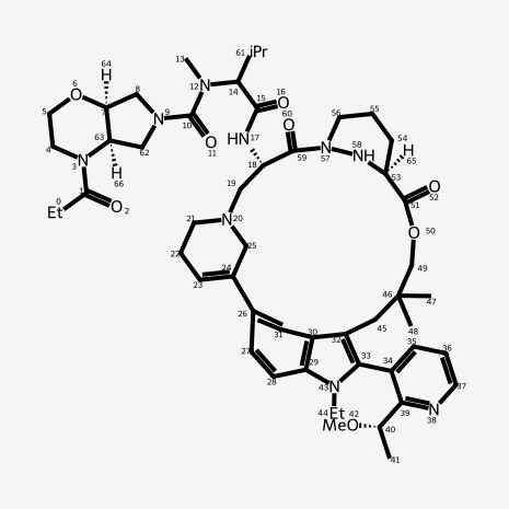 CCC(=O)N1CCO[C@H]2CN(C(=O)N(C)C(C(=O)N[C@H]3CN4CCC=C(C4)c4ccc5c(c4)c(c(-c4cccnc4[C@H](C)OC)n5CC)CC(C)(C)COC(=O)[C@@H]4CCCN(N4)C3=O)C(C)C)C[C@H]21